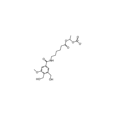 COc1cc(C(=O)NCCCCCC(=O)OC(C)O[N+](=O)[O-])cc(CO)c1CO